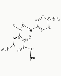 CSCC[C@H](NC(=O)OC(C)(C)C)C(C)OC(=O)c1ccc([N+](=O)[O-])cc1